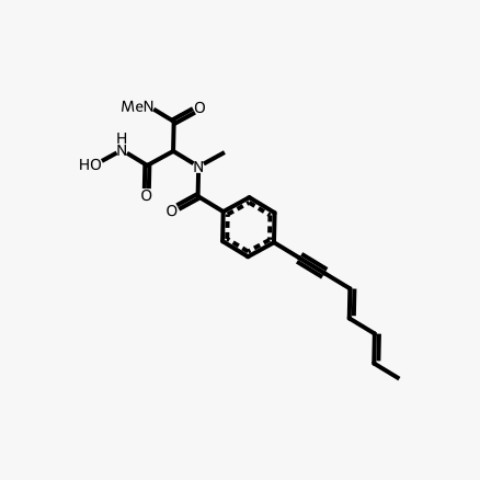 C/C=C/C=C/C#Cc1ccc(C(=O)N(C)C(C(=O)NC)C(=O)NO)cc1